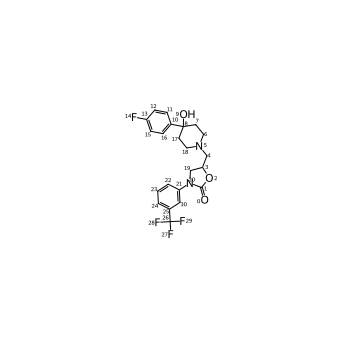 O=C1OC(CN2CCC(O)(c3ccc(F)cc3)CC2)CN1c1cccc(C(F)(F)F)c1